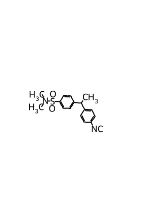 [C-]#[N+]c1ccc(C(C)c2ccc(S(=O)(=O)N(C)C)cc2)cc1